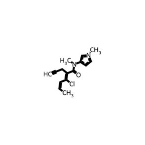 C#CC/C(C(=O)N(C)c1ccn(C)c1)=C(Cl)\C=C/C